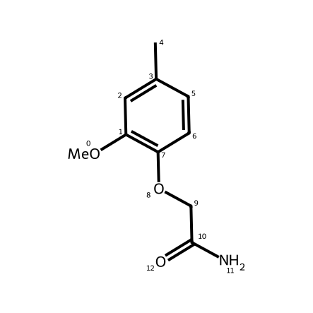 COc1cc(C)ccc1OCC(N)=O